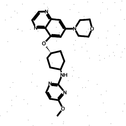 COc1ccnc(N[C@H]2CC[C@@H](Oc3cc(N4CCOCC4)cc4nccnc34)CC2)n1